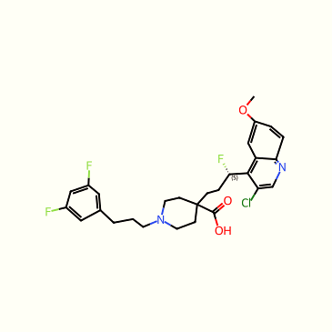 COc1ccc2ncc(Cl)c([C@@H](F)CCC3(C(=O)O)CCN(CCCc4cc(F)cc(F)c4)CC3)c2c1